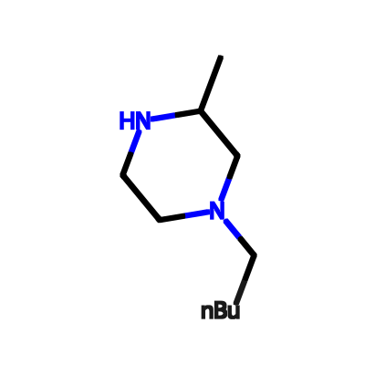 CCCCCN1CCNC(C)C1